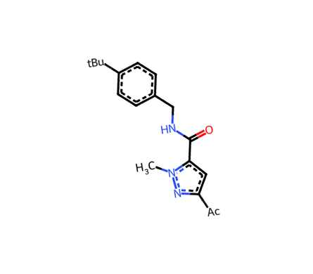 CC(=O)c1cc(C(=O)NCc2ccc(C(C)(C)C)cc2)n(C)n1